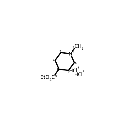 CCOC(=O)C1CCN(C)CC1.Cl.Cl